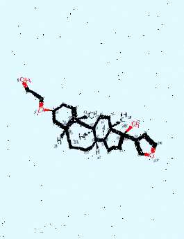 C[C@]12CC[C@H](OCCO)C[C@H]1CC[C@@H]1[C@@H]2CC[C@@]2(C)[C@H]1CC[C@@]2(O)c1ccoc1